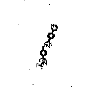 FC(F)c1nnc(-c2ccc(Cn3cc(-c4ccc(-c5cccnc5)cc4)nn3)cc2)o1